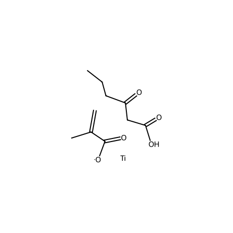 C=C(C)C([O])=O.CCCC(=O)CC(=O)O.[Ti]